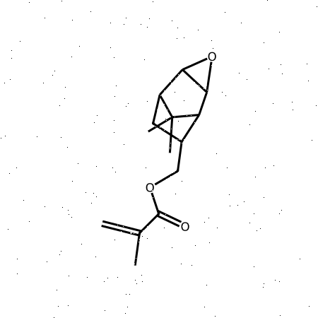 C=C(C)C(=O)OCC1CC2C3OC3C1C2(C)C